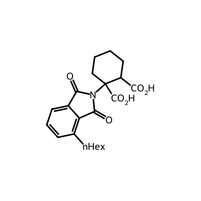 CCCCCCc1cccc2c1C(=O)N(C1(C(=O)O)CCCCC1C(=O)O)C2=O